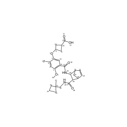 COc1cc(F)c(OC2CC(C(=O)O)C2)cc1C(=O)NC1C2C=CC(C2)C1C(=O)NCC1(C)CCC1